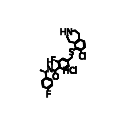 C[C@@H](NC(=O)c1ccc(CSc2c(Cl)ccc3c2CCNCC3)cc1F)c1ccc(F)cc1.Cl